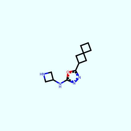 C1CC2(C1)CC(c1nnc(NC3CNC3)o1)C2